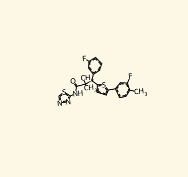 Cc1ccc(-c2ccc([C@H](c3cccc(F)c3)C(C)(C)C(=O)Nc3nncs3)s2)cc1F